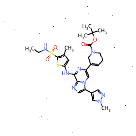 CCNS(=O)(=O)c1sc(Nc2nc(C3=CCCN(C(=O)OC(C)(C)C)C3)cn3c(-c4cnn(C)c4)cnc23)cc1C